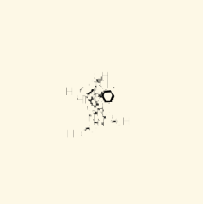 CCOc1nc(OCC)nc(OP(=O)(N[C@@H](C)C(=O)OC(C)C)Oc2ccccc2)n1